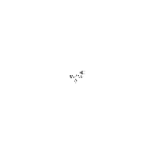 [Bi].[Mo].[Nb].[Zr]